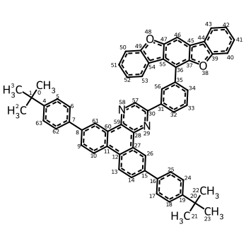 CC(C)(C)c1ccc(-c2ccc3c4ccc(-c5ccc(C(C)(C)C)cc5)cc4c4nc(-c5cccc(-c6c7oc8ccccc8c7cc7oc8ccccc8c67)c5)cnc4c3c2)cc1